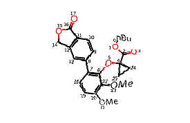 CCCCOC(=O)C1(Oc2c(-c3ccc4c(c3)COC4=O)ccc(OC)c2OC)CC1